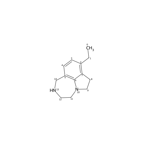 CCc1ccc2c3c1CCN3CCNC2